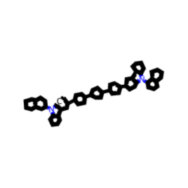 c1ccc2cc(-n3c4ccccc4c4cc(-c5ccc(-c6ccc(-c7ccc(-c8ccc9c(c8)c8ccccc8n9-c8cccc9ccccc89)cc7)cc6)cc5)ccc43)ccc2c1